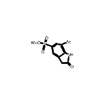 COS(=O)(=O)c1cc2c(c(C(C)=O)c1)NC(=O)C2